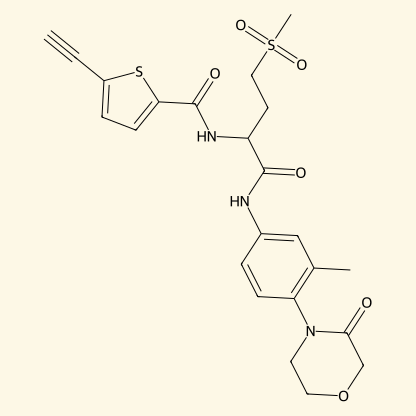 C#Cc1ccc(C(=O)NC(CCS(C)(=O)=O)C(=O)Nc2ccc(N3CCOCC3=O)c(C)c2)s1